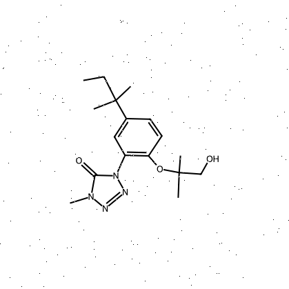 CCC(C)(C)c1ccc(OC(C)(C)CO)c(-n2nnn(C)c2=O)c1